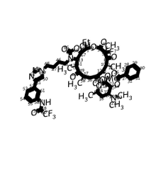 CC[C@H]1OC(=O)[C@@](C)(F)C(=O)[C@H](C)[C@@H](O[C@@H]2O[C@H](C)C[C@H](N(C)C)[C@H]2OC(=O)c2ccccc2)[C@@](C)(OC)C[C@@H](C)C(=O)[C@H](C)C2N(CCCCn3cc(-c4cccc(NC(=O)C(F)(F)F)c4)nn3)C(=O)O[C@@]21C